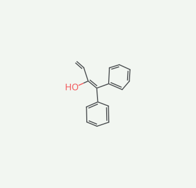 C=CC(O)=C(c1ccccc1)c1ccccc1